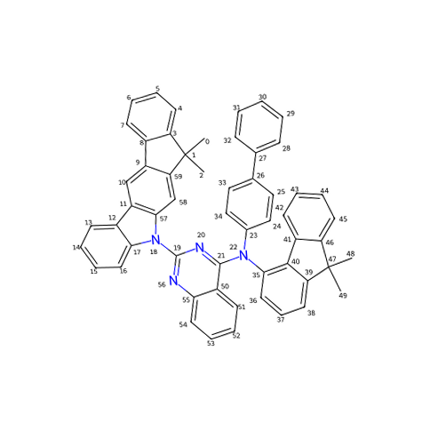 CC1(C)c2ccccc2-c2cc3c4ccccc4n(-c4nc(N(c5ccc(-c6ccccc6)cc5)c5cccc6c5-c5ccccc5C6(C)C)c5ccccc5n4)c3cc21